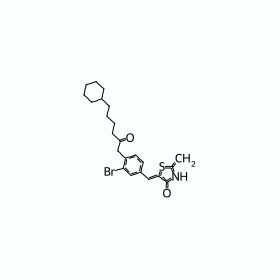 C=c1[nH]c(=O)/c(=C/c2ccc(CC(=O)CCCCC3CCCCC3)c(Br)c2)s1